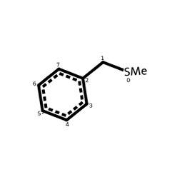 CSCc1cc[c]cc1